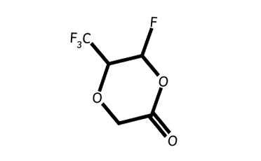 O=C1COC(C(F)(F)F)C(F)O1